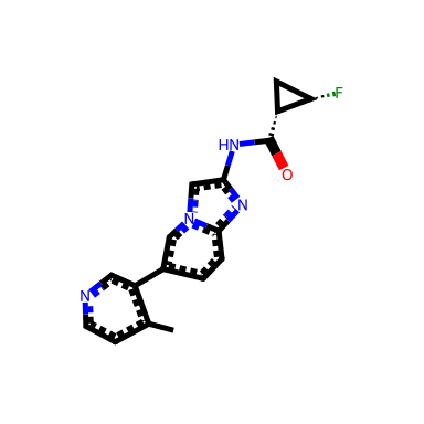 Cc1ccncc1-c1ccc2nc(NC(=O)[C@@H]3C[C@@H]3F)cn2c1